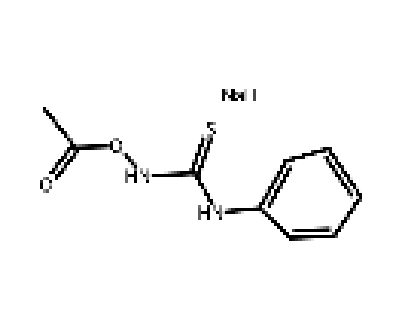 CC(=O)ONC(=S)Nc1ccccc1.[NaH]